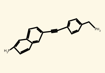 PCc1ccc(C#Cc2ccc3cc(P)ccc3c2)cc1